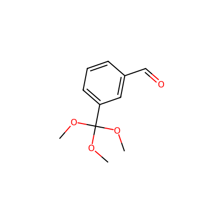 COC(OC)(OC)c1cccc(C=O)c1